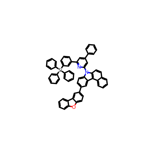 c1ccc(-c2cc(-c3cccc([Si](c4ccccc4)(c4ccccc4)c4ccccc4)c3)nc(-n3c4ccc(-c5ccc6oc7ccccc7c6c5)cc4c4c5ccccc5ccc43)c2)cc1